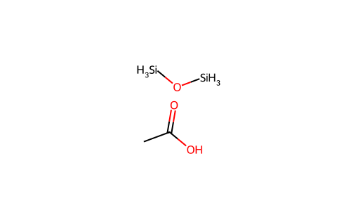 CC(=O)O.[SiH3]O[SiH3]